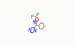 FC(F)ON=C(c1cnccn1)C1CC[CH]CC1